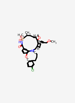 COCC#C[C@]1(OC)/C=C/C[C@H](C)[C@@H](C)S(=O)(=O)NC(=O)c2ccc3c(c2)N(CCCCc2cc(Cl)ccc2CO3)C[C@@H]2CC[C@H]21